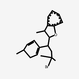 CC1C=CC(C(CC(C)(C)Br)C2Oc3ccccc3C2C)=CC1